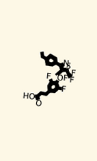 CCc1ccc(-c2nsc(C(F)(F)F)c2COc2c(F)cc(CCC(=O)O)cc2F)cc1